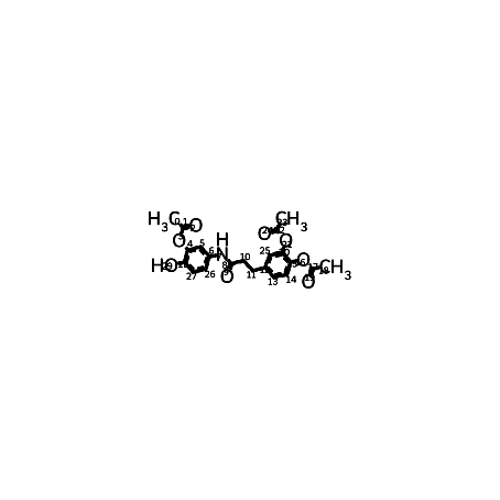 CC(=O)Oc1cc(NC(=O)CCc2ccc(OC(C)=O)c(OC(C)=O)c2)ccc1O